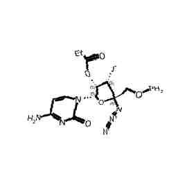 CCC(=O)O[C@H]1[C@@H](n2ccc(N)nc2=O)O[C@@](COP)(N=[N+]=[N-])[C@H]1F